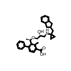 Cc1c(C(=O)O)ccc(-c2ccccc2)c1[C@@H](C)OC[C@H](O)CNC1(CC2Cc3ccccc3C2)CC1